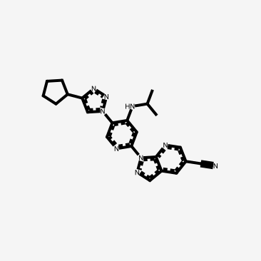 CC(C)Nc1cc(-n2ncc3cc(C#N)cnc32)ncc1-n1cc(C2CCCC2)nn1